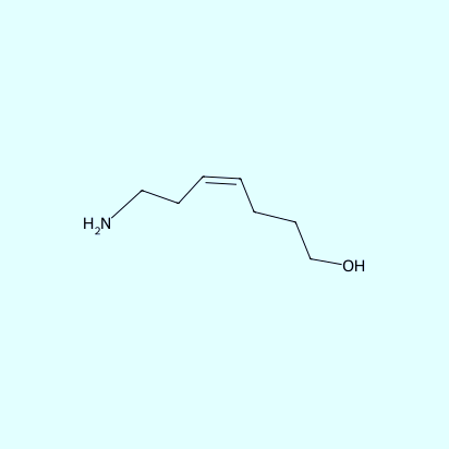 NCC/C=C\CCCO